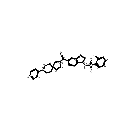 O=C(c1ccc2c(c1)CC[C@H]2NS(=O)(=O)c1ccccc1Cl)N1CCC2(CCN(c3ccncc3)CC2)C1